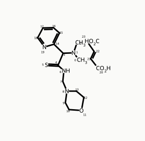 CN(C)C(C(=S)NCN1CCOCC1)c1ccccn1.O=C(O)C=CC(=O)O